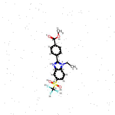 CCn1c(-c2ccc(C(=O)OC)cc2)nc2cc(S(=O)(=O)C(F)(F)F)ccc21